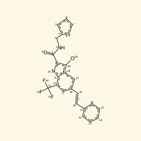 O=C(NCc1cccs1)c1nc2c(C(F)(F)F)cc(/C=C/c3ccccc3)cn2c1Cl